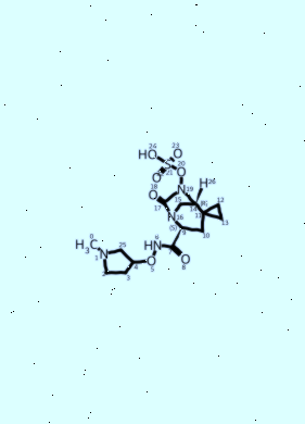 CN1CCC(ONC(=O)[C@@H]2CC3(CC3)[C@@H]3CN2C(=O)N3OS(=O)(=O)O)C1